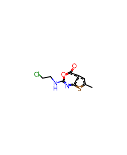 Cc1cc2c(=O)oc(NCCCl)nc2s1